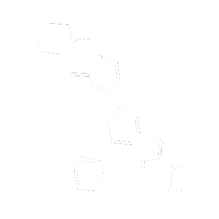 CCOC(=O)Nc1nc2cc(-c3cc(C)n(CN4CCOCC4)c(=O)c3)cc(-c3ccccn3)c2[nH]1